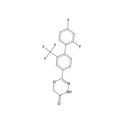 O=C1COC(c2ccc(-c3ccc(F)cc3F)c(C(F)(F)F)c2)=NN1